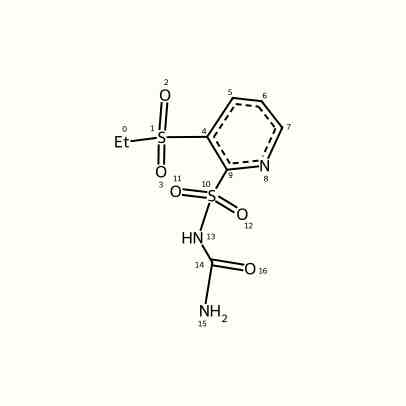 CCS(=O)(=O)c1cccnc1S(=O)(=O)NC(N)=O